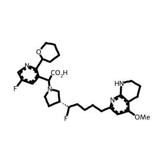 COc1cc(CCCCC(F)[C@@H]2CCN(C(C(=O)O)c3cc(F)cnc3C3CCCCO3)C2)nc2c1CCCN2